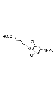 CC(=O)Nc1cc(Cl)c(OCCCCCC(=O)O)c(Cl)c1